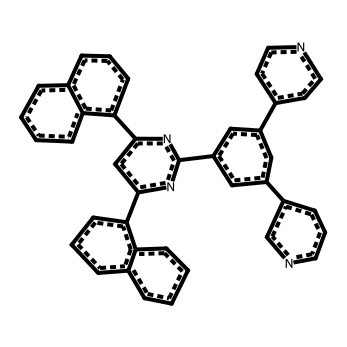 c1cncc(-c2cc(-c3ccncc3)cc(-c3nc(-c4cccc5ccccc45)cc(-c4cccc5ccccc45)n3)c2)c1